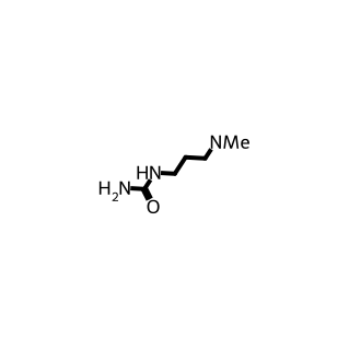 CNCCCNC(N)=O